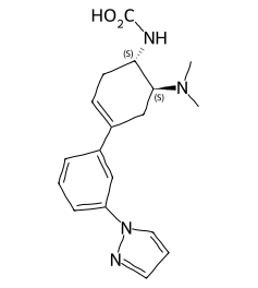 CN(C)[C@H]1CC(c2cccc(-n3cccn3)c2)=CC[C@@H]1NC(=O)O